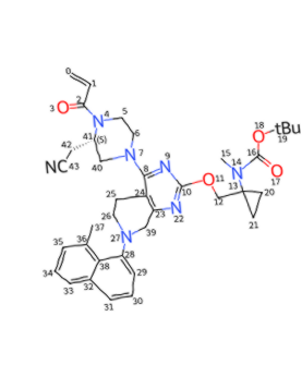 C=CC(=O)N1CCN(c2nc(OCC3(N(C)C(=O)OC(C)(C)C)CC3)nc3c2CCN(c2cccc4cccc(C)c24)C3)C[C@@H]1CC#N